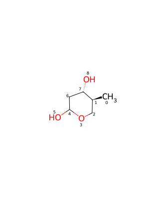 C[C@H]1COC(O)C[C@@H]1O